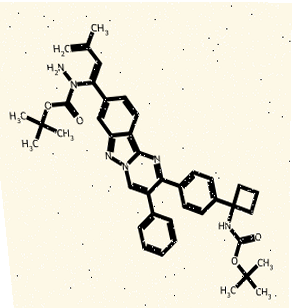 C=C(C)/C=C(/c1ccc2c(c1)nn1cc(-c3ccccc3)c(-c3ccc(C4(NC(=O)OC(C)(C)C)CCC4)cc3)nc21)N(N)C(=O)OC(C)(C)C